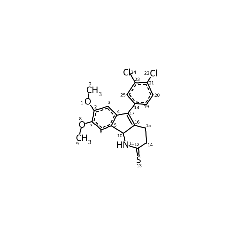 COc1cc2c(cc1OC)C1NC(=S)CCC1=C2c1ccc(Cl)c(Cl)c1